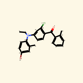 CCN(c1ccc(C(=O)c2ccccc2C)c(Cl)c1)c1ccc(Br)cc1C